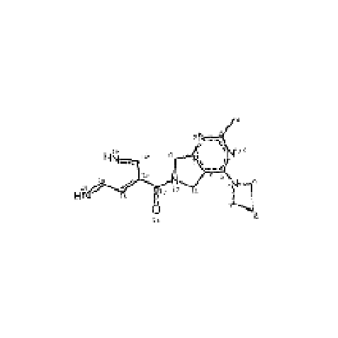 Cc1nc2c(c(N3CCC3)n1)CN(C(=O)/C(C=N)=C/C=N)C2